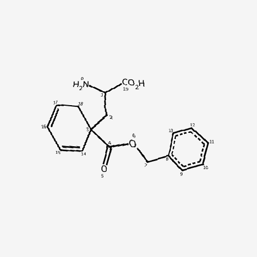 NC(CC1(C(=O)OCc2ccccc2)C=CC=CC1)C(=O)O